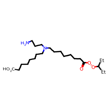 CCC(CC)OOC(=O)CCCCCCCN(CCCN)CCCCCCCC(=O)O